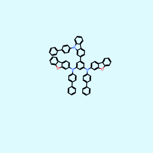 c1ccc(-c2ccc(N(c3cc(-c4ccc5c6ccccc6n(-c6ccc(-c7ccccc7)cc6)c5c4)cc(N(c4ccc(-c5ccccc5)cc4)c4ccc5c(c4)oc4ccccc45)c3)c3ccc4c(c3)oc3ccccc34)cc2)cc1